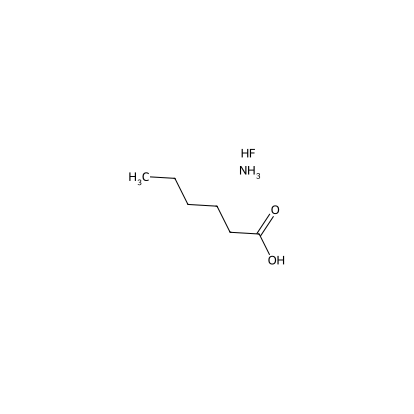 CCCCCC(=O)O.F.N